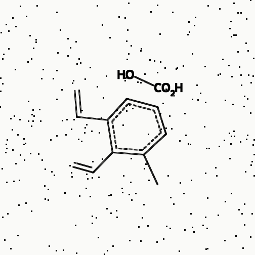 C=Cc1cccc(C)c1C=C.O=C(O)O